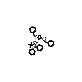 CC(C)(C)[Si](OC[C@H]1[C@H](OCc2ccccc2)CN1Cc1ccccc1)(c1ccccc1)c1ccccc1